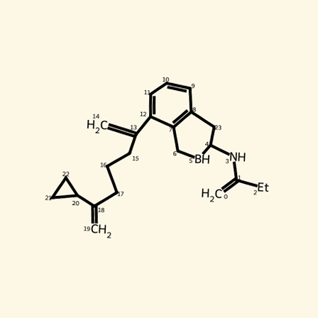 C=C(CC)NC1BCc2c(cccc2C(=C)CCCC(=C)C2CC2)C1